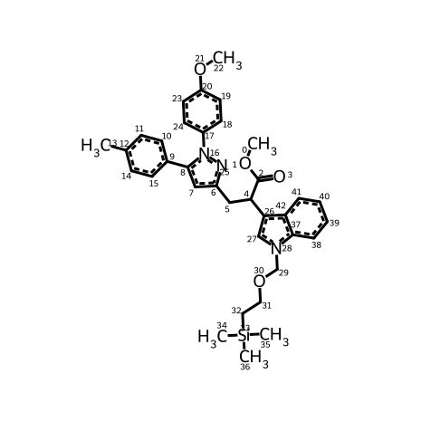 COC(=O)C(Cc1cc(-c2ccc(C)cc2)n(-c2ccc(OC)cc2)n1)c1cn(COCC[Si](C)(C)C)c2ccccc12